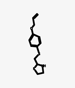 C=CCOc1ccc(SCC2NCCS2)cc1